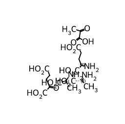 CC(=O)C(=O)O.C[C@@H](N)C(=O)O.C[C@H](N)C(=O)O.N[C@H](CCC(=O)O)C(=O)O.O=C(O)CCC(=O)C(=O)O